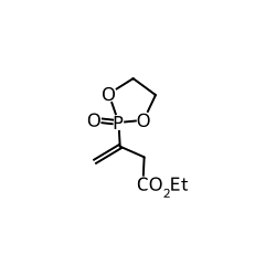 C=C(CC(=O)OCC)P1(=O)OCCO1